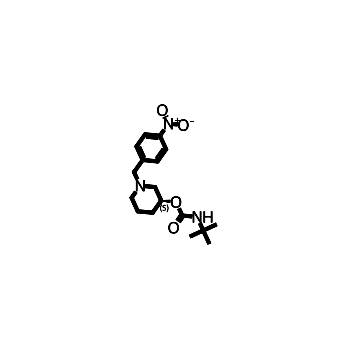 CC(C)(C)NC(=O)O[C@H]1CCCN(Cc2ccc([N+](=O)[O-])cc2)C1